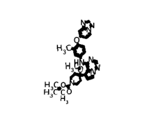 COC1(c2ccn3ncnc(Nc4ccc(Oc5ccn6ncnc6c5)c(C)c4)c23)CCN(C(=O)OC(C)(C)C)CC1